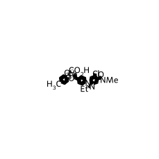 CCc1nc2cc(C(=O)NC)c(Cl)cc2n1-c1ccc(CCN(C(=O)O)S(=O)(=O)c2ccc(C)cc2)cc1